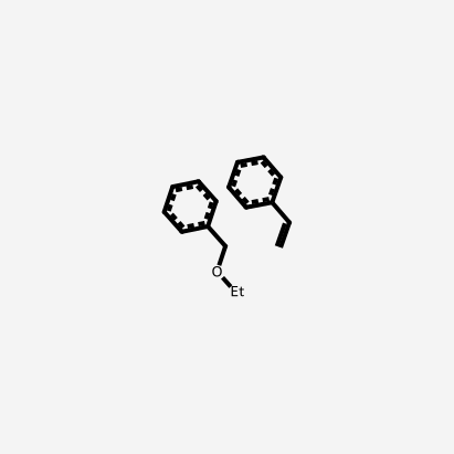 C=Cc1ccccc1.CCOCc1ccccc1